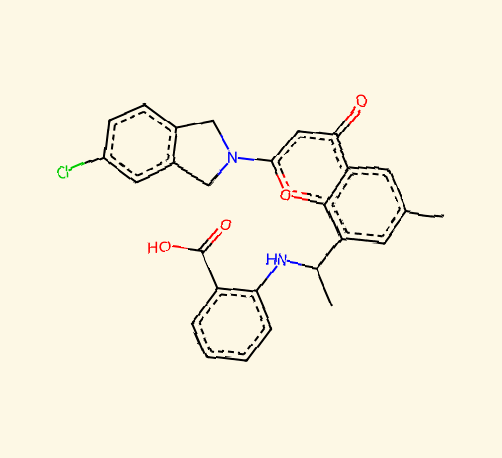 Cc1cc(C(C)Nc2ccccc2C(=O)O)c2oc(N3Cc4ccc(Cl)cc4C3)cc(=O)c2c1